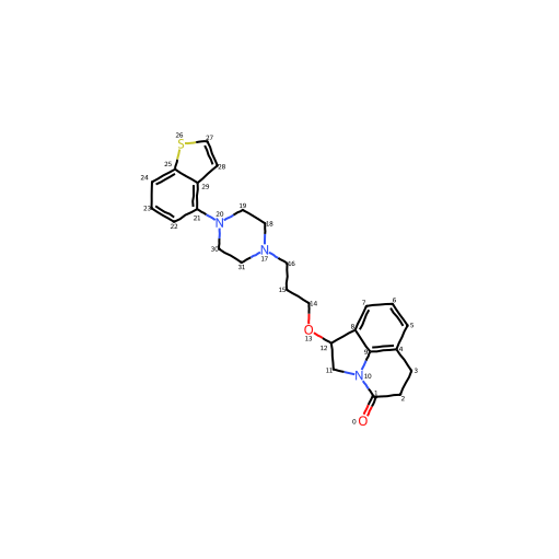 O=C1CCc2cccc3c2N1CC3OCCCN1CCN(c2cccc3sccc23)CC1